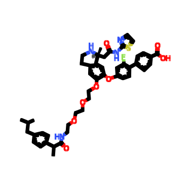 CC(C)Cc1ccc(C(C)C(=O)NCCOCCOCCOc2cc3c(cc2Oc2ccc(-c4ccc(C(=O)O)cc4)c(F)c2)[C@@](C)(CC(=O)Nc2nccs2)NCC3)cc1